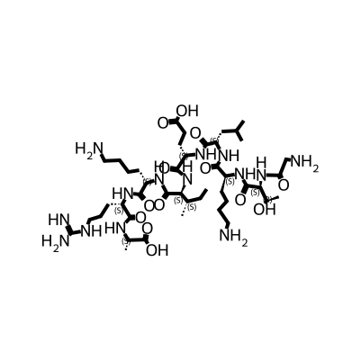 CC[C@H](C)[C@H](NC(=O)[C@H](CCC(=O)O)NC(=O)[C@H](CC(C)C)NC(=O)[C@H](CCCCN)NC(=O)[C@@H](NC(=O)CN)[C@@H](C)O)C(=O)N[C@@H](CCCCN)C(=O)N[C@@H](CCCNC(=N)N)C(=O)N[C@@H](C)C(=O)O